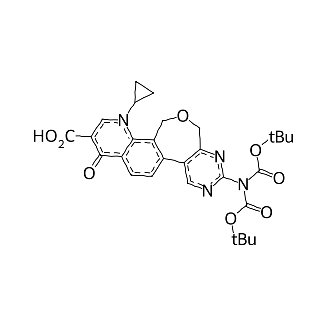 CC(C)(C)OC(=O)N(C(=O)OC(C)(C)C)c1ncc2c(n1)COCc1c-2ccc2c(=O)c(C(=O)O)cn(C3CC3)c12